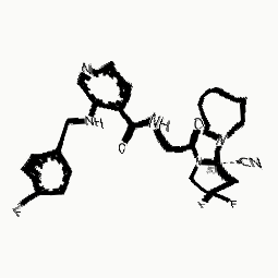 N#C[C@]1(N2CCCCC2)CC(F)(F)CN1C(=O)CNC(=O)c1ccncc1NCc1ccc(F)cc1